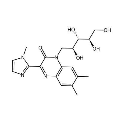 Cc1cc2nc(-c3nccn3C)c(=O)n(C[C@H](O)[C@H](O)[C@H](O)CO)c2cc1C